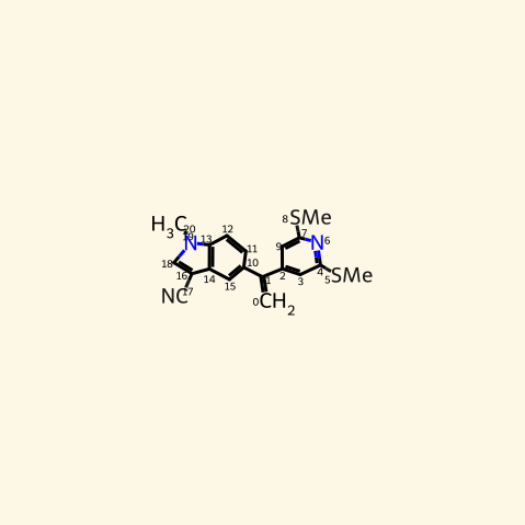 C=C(c1cc(SC)nc(SC)c1)c1ccc2c(c1)c(C#N)cn2C